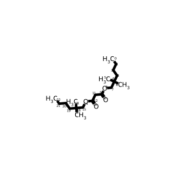 CCCCC(C)(C)COC(=O)CC(=O)OCC(C)(C)CCCC